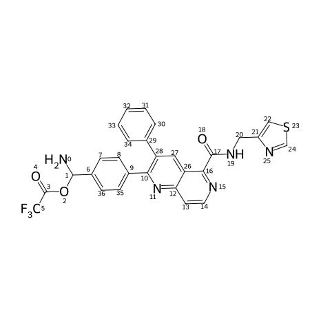 NC(OC(=O)C(F)(F)F)c1ccc(-c2nc3ccnc(C(=O)NCc4cscn4)c3cc2-c2ccccc2)cc1